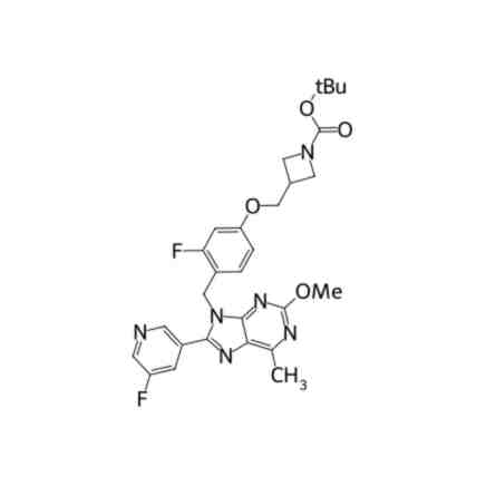 COc1nc(C)c2nc(-c3cncc(F)c3)n(Cc3ccc(OCC4CN(C(=O)OC(C)(C)C)C4)cc3F)c2n1